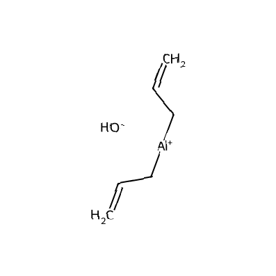 C=C[CH2][Al+][CH2]C=C.[OH-]